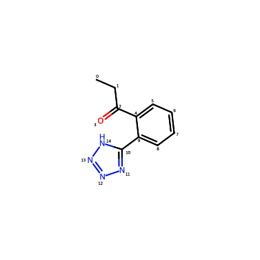 CCC(=O)c1ccccc1-c1nnn[nH]1